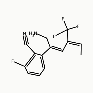 C/C=C(\C=C(/CN)c1cccc(F)c1C#N)C(F)(F)F